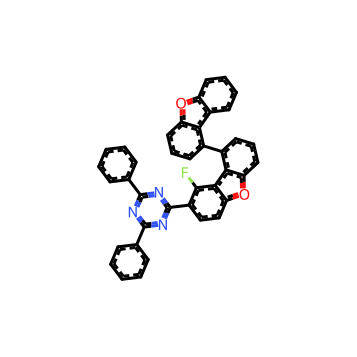 Fc1c(-c2nc(-c3ccccc3)nc(-c3ccccc3)n2)ccc2oc3cccc(-c4cccc5oc6ccccc6c45)c3c12